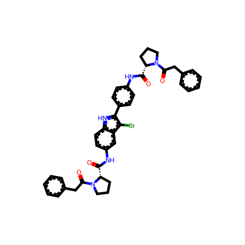 O=C(Nc1ccc(-c2[nH]c3ccc(NC(=O)[C@@H]4CCCN4C(=O)Cc4ccccc4)cc3c2Br)cc1)[C@@H]1CCCN1C(=O)Cc1ccccc1